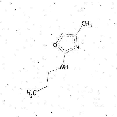 CCCNc1nc(C)co1